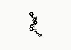 CCCCCNc1ccnc2ccc(-c3cccc(S(=O)(=O)NCc4ccccc4)c3)nc12